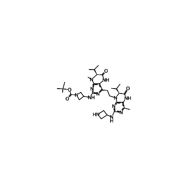 Cc1nc(NC2CNC2)nc2c1NC(=O)[C@H](C(C)C)N2CCc1nc(NC2CN(C(=O)OC(C)(C)C)C2)nc2c1NC(=O)[C@H](C(C)C)N2C